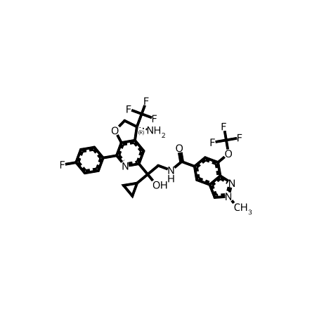 Cn1cc2cc(C(=O)NCC(O)(c3cc4c(c(-c5ccc(F)cc5)n3)OC[C@@]4(N)C(F)(F)F)C3CC3)cc(OC(F)(F)F)c2n1